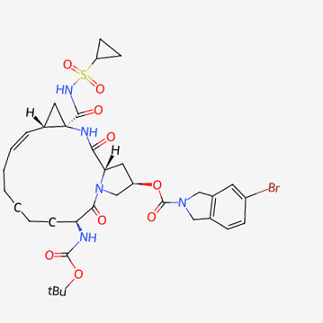 CC(C)(C)OC(=O)N[C@H]1CCCCC/C=C\[C@@H]2C[C@@]2(C(=O)NS(=O)(=O)C2CC2)NC(=O)[C@@H]2C[C@@H](OC(=O)N3Cc4ccc(Br)cc4C3)CN2C1=O